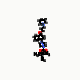 CC(C)(C)OC(=O)N1CCN(c2ccc(OCCCN3CCCCC3)c3ccccc23)CC1